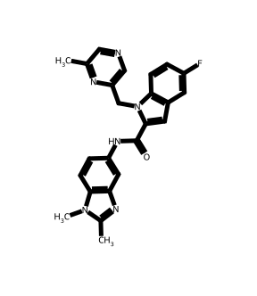 Cc1cncc(Cn2c(C(=O)Nc3ccc4c(c3)nc(C)n4C)cc3cc(F)ccc32)n1